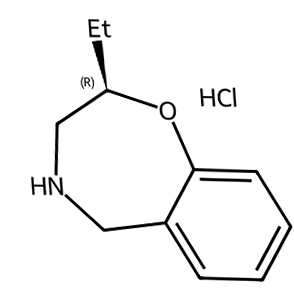 CC[C@@H]1CNCc2ccccc2O1.Cl